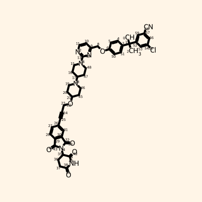 CC(C)(c1ccc(OCc2ccnc(N3CCC(N4CCC(OCC#Cc5ccc6c(c5)C(=O)N(C5CCC(=O)NC5=O)C6=O)CC4)CC3)n2)cc1)c1cc(Cl)cc(C#N)c1